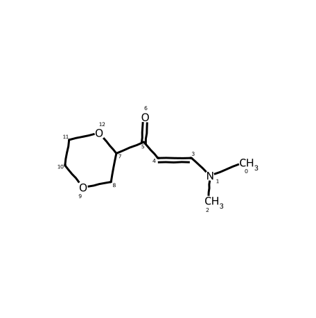 CN(C)/C=C/C(=O)C1COCCO1